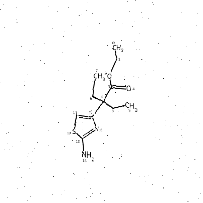 CCOC(=O)C(CC)(CC)c1csc(N)n1